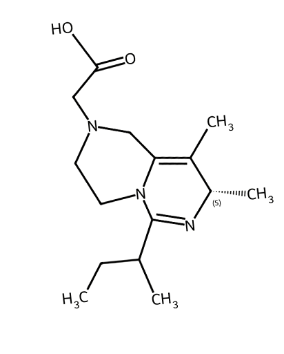 CCC(C)C1=N[C@@H](C)C(C)=C2CN(CC(=O)O)CCN12